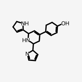 OC1=CC=C(C2=CC(C3=CCCN3)NC(C3C=CC=N3)C2)CC1